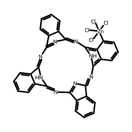 [Cl][Zn]([Cl])([Cl])([Cl])[c]1cccc2c3nc4nc(nc5[nH]c(nc6nc(nc([nH]3)c12)-c1ccccc1-6)c1ccccc51)-c1ccccc1-4